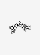 CC(C)[C@]1(c2ccc(C(=O)N3CCN(c4cccc5c4cnn5C)CC3)cc2)NC(=O)NC1=O